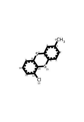 Cc1ccc2c(c1)Sc1cccc(Cl)c1S2